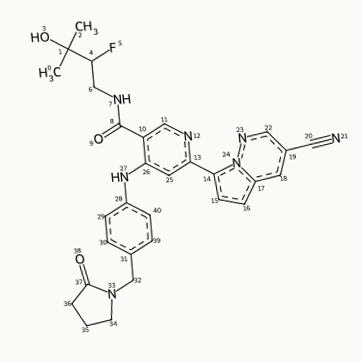 CC(C)(O)C(F)CNC(=O)c1cnc(-c2ccc3cc(C#N)cnn23)cc1Nc1ccc(CN2CCCC2=O)cc1